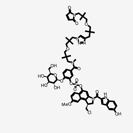 COc1ccc2c(OS(=O)(=O)Oc3cc(C(=O)N(C)CC(C)(C)COCC(C)(C)Cn4cc(CC(C)(C)COCC(C)(C)CN5C(=O)C=CC5=O)nn4)ccc3O[C@@H]3O[C@H](CO)[C@H](O)[C@H](O)[C@H]3O)cc3c(c2c1)[C@H](CCl)CN3C(=O)c1cc2cc(O)ccc2[nH]1